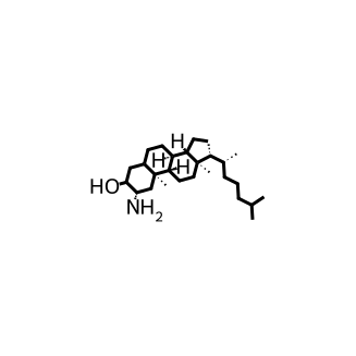 CC(C)CCC[C@@H](C)[C@H]1CC[C@H]2[C@@H]3CCC4CC(O)[C@@H](N)C[C@]4(C)[C@H]3CC[C@]12C